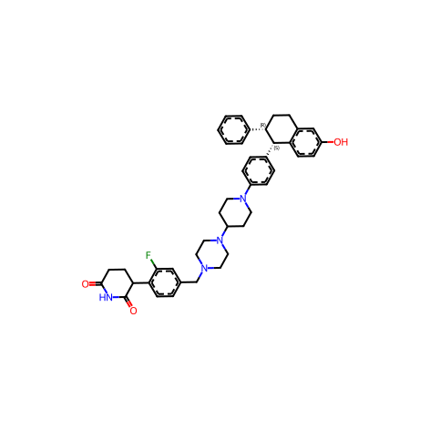 O=C1CCC(c2ccc(CN3CCN(C4CCN(c5ccc([C@H]6c7ccc(O)cc7CC[C@H]6c6ccccc6)cc5)CC4)CC3)cc2F)C(=O)N1